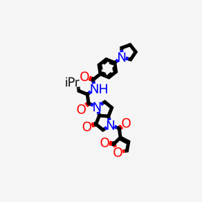 CC(C)CC(NC(=O)c1ccc(N2CCCC2)cc1)C(=O)N1CCC2C1C(=O)CN2C(=O)C1=CCOC1=O